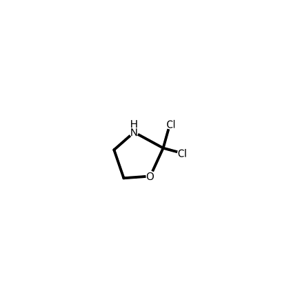 ClC1(Cl)NCCO1